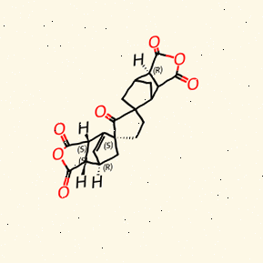 O=C1OC(=O)[C@@H]2C3CC(C12)C1(CC[C@@]2(C[C@@H]4C=C2[C@H]2C(=O)OC(=O)[C@H]24)C1=O)C3